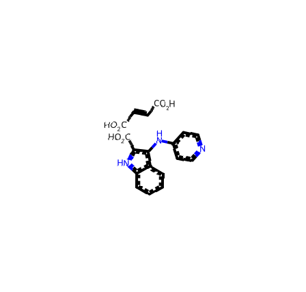 O=C(O)C=CC(=O)O.O=C(O)c1[nH]c2ccccc2c1Nc1ccncc1